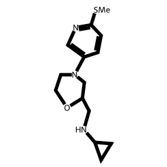 CSc1ccc(N2CCOC(CNC3CC3)C2)cn1